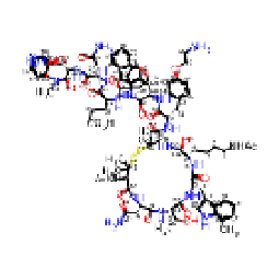 CC(=O)NCCCC[C@@H]1NC(=O)[C@H](Cc2c[nH]c3c(C)cccc23)NC(=O)[C@H]([C@@H](C)O)NC(=O)[C@H](CC(N)=O)NC(=O)C(NC(C)=O)C(C)(C)SSC(C)(C)[C@@H](C(=O)N[C@@H](Cc2ccc(OCCN)cc2)C(=O)N[C@@H](Cc2ccc3ccccc3c2)C(=O)NC2(C(=O)N[C@@H](CCC(=O)O)C(=O)N[C@@H](CC(N)=O)C(=O)N[C@@H](Cc3cccnc3)C(=O)N(C)CC(N)=O)CCOCC2)NC1=O